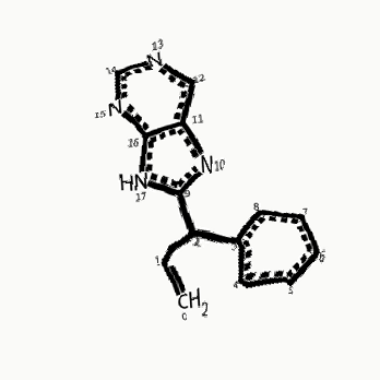 C=CC(c1ccccc1)c1nc2cncnc2[nH]1